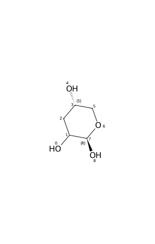 OC1C[C@H](O)CO[C@H]1O